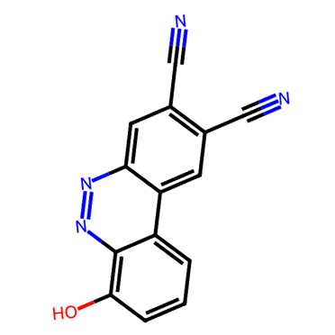 N#Cc1cc2nnc3c(O)cccc3c2cc1C#N